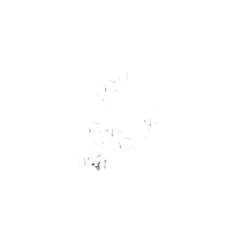 O=C(Nc1cc(CCCS(=O)(=O)c2ccc(Cl)cc2)ccc1OCc1nnn[nH]1)c1cccc(CSc2nc(C3CC3)cs2)c1